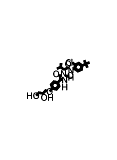 CC(C)C(C(=O)Nc1ccc(C(C)(C)C)cc1Cl)N1C(=O)NC(c2ccc(OCC(O)CO)cc2)C1=O